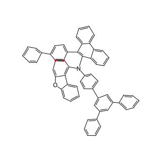 c1ccc(-c2ccc(-c3c(N(c4ccc(-c5cc(-c6ccccc6)cc(-c6ccccc6)c5)cc4)c4cccc5oc6ccccc6c45)c4ccccc4c4ccccc34)cc2)cc1